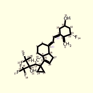 C=C1/C(=C\C=C2/CCC[C@]3(C)C(C4(CC(O)(C(F)(F)F)C(F)(F)F)CC4)=CCC23)CC(O)C[C@@H]1F